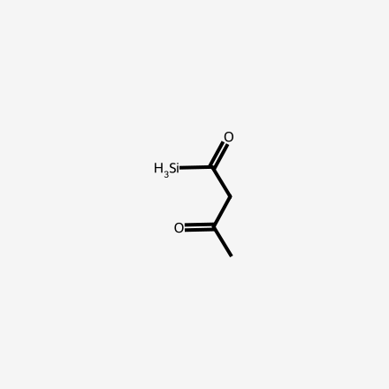 CC(=O)CC(=O)[SiH3]